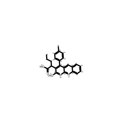 CCCC(C(=O)O)c1c(O)nc2nc3ccccc3cc2c1-c1ccc(C)cc1